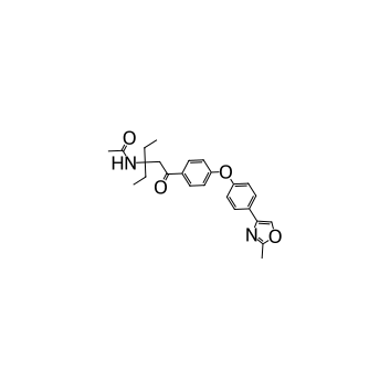 CCC(CC)(CC(=O)c1ccc(Oc2ccc(-c3coc(C)n3)cc2)cc1)NC(C)=O